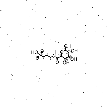 O=C(NCCCS(=O)(=O)O)C1OC(O)[C@H](O)[C@@H](O)[C@@H]1O